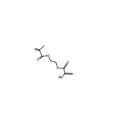 C=C(C)C(=O)OCCOC(=O)C(=C)C(C)(C)C